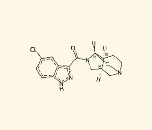 O=C(c1n[nH]c2ccc(Cl)cc12)N1C[C@@H]2CN3CC[C@@H]2[C@@H]1C3